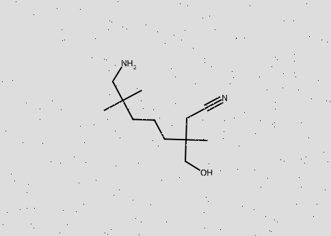 CC(C)(CN)CCCC(C)(CO)CC#N